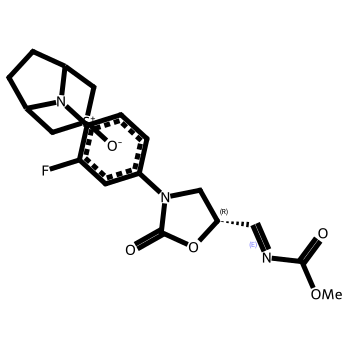 COC(=O)/N=C/[C@H]1CN(c2ccc(N3C4CCC3C[S+]([O-])C4)c(F)c2)C(=O)O1